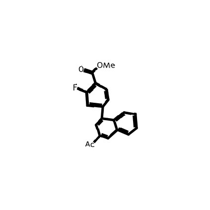 COC(=O)c1ccc(-c2cc(C(C)=O)cc3ccccc23)cc1F